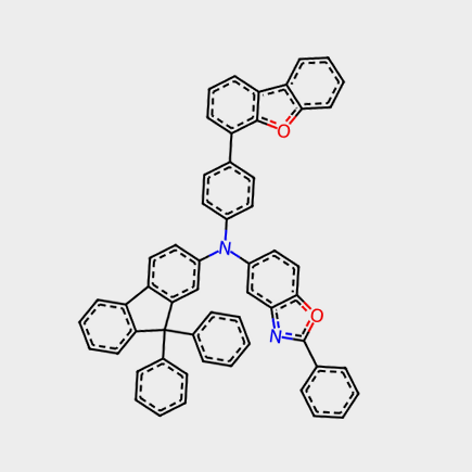 c1ccc(-c2nc3cc(N(c4ccc(-c5cccc6c5oc5ccccc56)cc4)c4ccc5c(c4)C(c4ccccc4)(c4ccccc4)c4ccccc4-5)ccc3o2)cc1